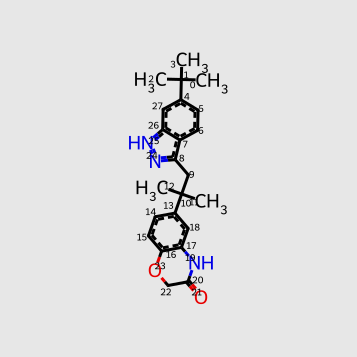 CC(C)(C)c1ccc2c(CC(C)(C)c3ccc4c(c3)NC(=O)CO4)n[nH]c2c1